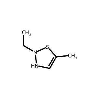 C[CH]N1NC=C(C)S1